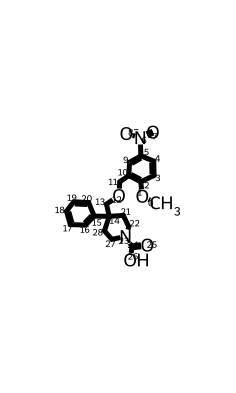 COc1ccc([N+](=O)[O-])cc1COCC1(c2ccccc2)CCN(C(=O)O)CC1